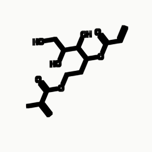 C=CC(=O)OC(CCOC(=O)C(=C)C)C(O)C(O)CO